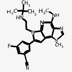 CNc1nc2c(cc(-c3cc(F)cc(C#N)c3)n2CCNC(C)(C)C)c2c1ncn2C